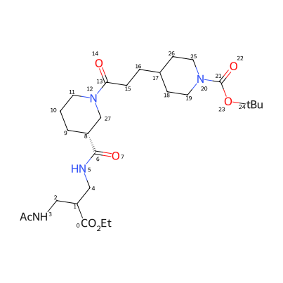 CCOC(=O)C(CNC(C)=O)CNC(=O)[C@@H]1CCCN(C(=O)CCC2CCN(C(=O)OC(C)(C)C)CC2)C1